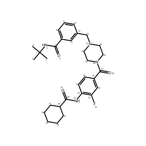 CC(C)(C)NC(=O)c1cccc(CN2CCN(C(=O)c3ccc(NC(=O)C4CCCCC4)c(F)c3)CC2)c1